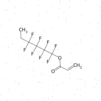 C=CC(=O)OC(F)(F)C(F)(F)C(F)(F)C(F)(F)CC